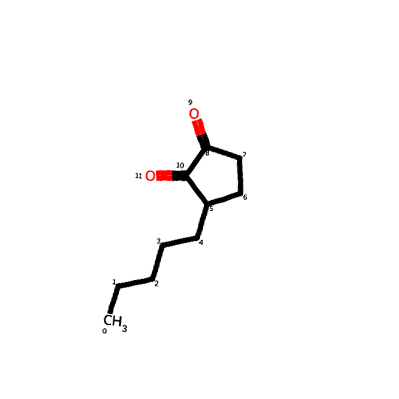 CCCCCC1CCC(=O)C1=O